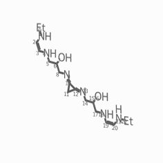 CCN/C=C\NCC(O)C/N=C1\C\C1=N/CC(O)CN/C=C\NCC